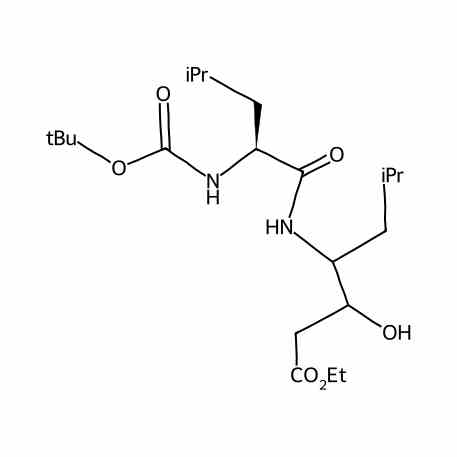 CCOC(=O)CC(O)C(CC(C)C)NC(=O)[C@H](CC(C)C)NC(=O)OC(C)(C)C